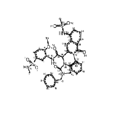 CNS(=O)(=O)c1ccc(OC)c(NC(=O)C(c2nc3c(NS(C)(=O)=O)cccc3c(=O)n2-c2ccccc2)N2C(=O)CN(Cc3ccccc3)C2=O)c1